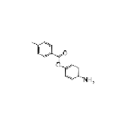 Cc1ccc(C(=O)Oc2ccc(N)cc2)cc1